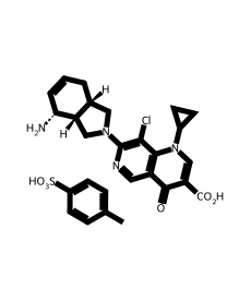 Cc1ccc(S(=O)(=O)O)cc1.N[C@@H]1C=CC[C@@H]2CN(c3ncc4c(=O)c(C(=O)O)cn(C5CC5)c4c3Cl)C[C@@H]21